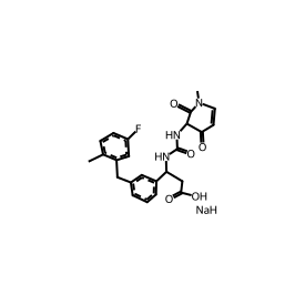 Cc1ccc(F)cc1Cc1cccc(C(CC(=O)O)NC(=O)NC2C(=O)C=CN(C)C2=O)c1.[NaH]